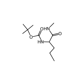 CCCC(NC(=O)OC(C)(C)C)C(=O)NC